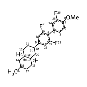 COc1ccc(-c2c(F)cc([C@@H]3CC[C@@H]4CC(C)CC[C@@H]4C3)cc2F)cc1F